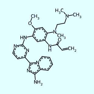 C=CC(=O)Nc1cc(Nc2nccc(-c3nc(N)c4ccccn34)n2)c(OC)cc1N(C)CCN(C)C